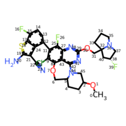 COC1CCC2COc3c(Cl)c(-c4ccc(F)c5sc(N)c(C#N)c45)c(F)c4nc(OCC56CCCN5C[C@H](F)C6)nc(c34)N2C1